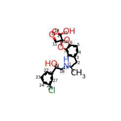 C[C@H](Cc1ccc2c(c1)OC(C=O)(C(=O)O)O2)NC[C@H](O)c1cccc(Cl)c1